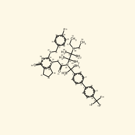 BC(B)(c1ccc(-c2ccc(C(F)(F)F)cc2)cc1)N(C(=O)Cn1c(SCc2ccc(F)cc2)nc(=O)c2c1CCC2)C(B)(B)C(B)(B)N(CC)CC